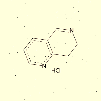 C1=NCCc2ncccc21.Cl